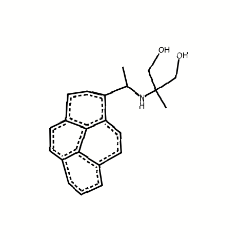 CC(NC(C)(CO)CO)c1ccc2ccc3cccc4ccc1c2c34